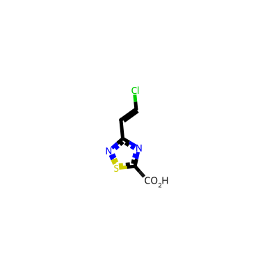 O=C(O)c1nc(C=CCl)ns1